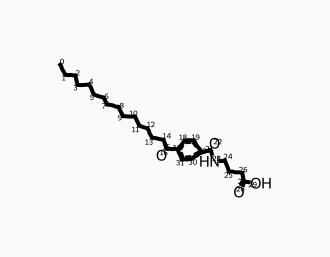 CCCCCCCCCCCCCCCC(=O)c1ccc(C(=O)NCCCC(=O)O)cc1